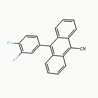 N#Cc1c2ccccc2c(-c2ccc(F)c(F)c2)c2ccccc12